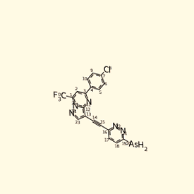 FC(F)(F)c1cc(-c2ccc(Cl)cc2)nc2c(C#Cc3ccc([AsH2])nn3)cnn12